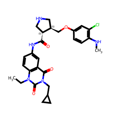 CCn1c(=O)n(CC2CC2)c(=O)c2cc(NC(=O)[C@@H]3CNC[C@H]3COc3ccc(NC)c(Cl)c3)ccc21